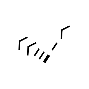 C=C.CC.CC.CC.CCC.CCC.CCC